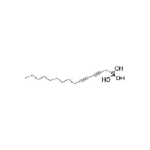 CCCCCCCCCC#CC#CC[Si](O)(O)O